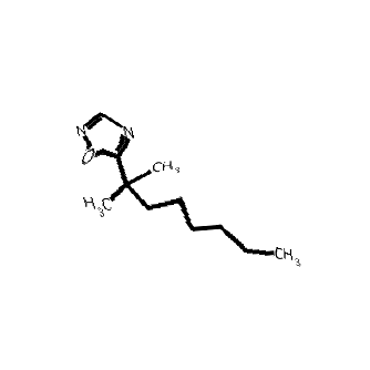 CCCCCCC(C)(C)c1ncno1